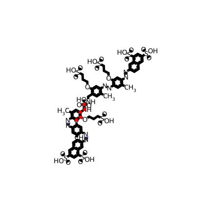 Cc1cc(N=Nc2cc(OCCCS(=O)(=O)O)c(CNCNc3cc(C)c(/N=N\c4cc(C)c(/N=N\c5ccc6cc(S(=O)(=O)O)cc(S(=O)(=O)O)c6c5)cc4OCCCS(=O)(=O)O)cc3OCCCS(=O)(=O)O)cc2C)c(OCCCS(=O)(=O)O)cc1N=Nc1ccc2cc(S(=O)(=O)O)cc(S(=O)(=O)O)c2c1